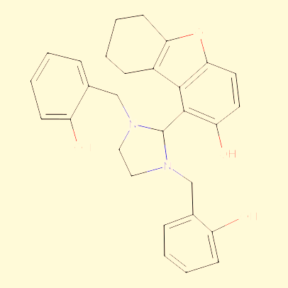 Oc1ccccc1CN1CCN(Cc2ccccc2O)C1c1c(O)ccc2oc3c(c12)CCCC3